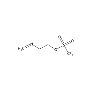 C=NCCOS(=O)(=O)C(F)(F)F